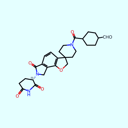 O=CC1CCC(C(=O)N2CCC3(CC2)COc2c3ccc3c2CN([C@H]2CCC(=O)NC2=O)C3=O)CC1